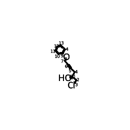 O[C@H](CCl)CC#CCOc1ccccc1